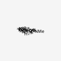 CNC1CCN(c2cc(F)c(CCNC(=O)c3sc4nc(C)ccc4c3N)cc2F)C1